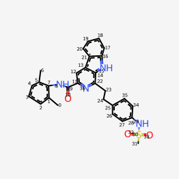 Cc1cccc(C)c1NC(=O)c1cc2c([nH]c3ccccc32)c(CCc2ccc(NS(C)(=O)=O)cc2)n1